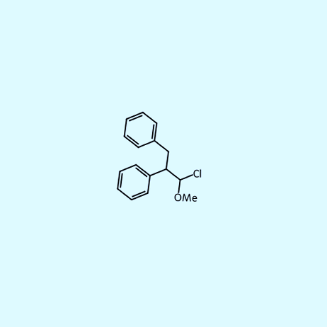 COC(Cl)C(Cc1ccccc1)c1ccccc1